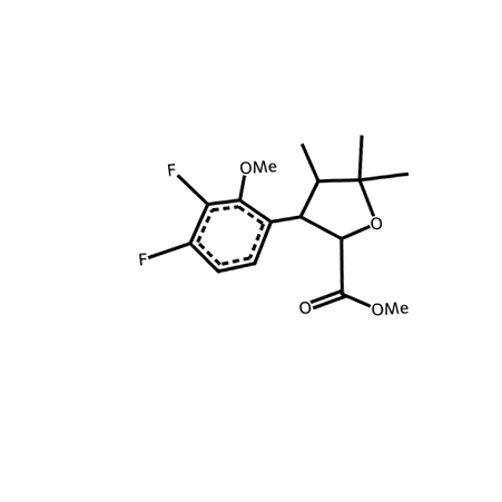 COC(=O)C1OC(C)(C)C(C)C1c1ccc(F)c(F)c1OC